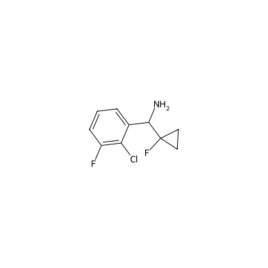 NC(c1cccc(F)c1Cl)C1(F)CC1